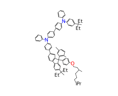 CCC(C)(CC)c1ccc(N(c2ccccc2)c2ccc(-c3ccc(N(c4ccccc4)c4ccc(-c5ccc6c(c5)C(c5ccc(OCCC(C)CCCC(C)C)cc5)(c5cc(C)ccc5C)c5cc(C(C)(CC)CC)ccc5-6)cc4)cc3)cc2)cc1